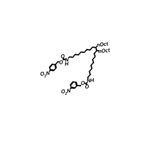 CCCCCCCCC(CCCCCCCCCNC(=O)OCc1ccc([N+](=O)[O-])cc1)C(CCCCCCCC)CCCCCCCCCNC(=O)OCc1cccc([N+](=O)[O-])c1